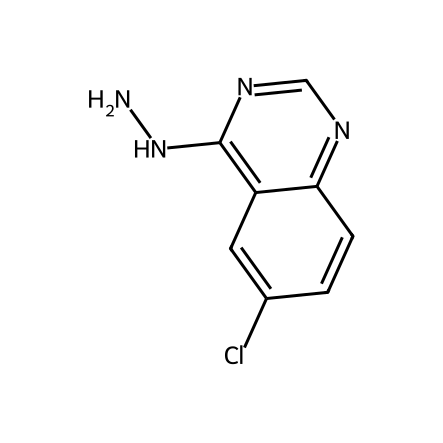 NNc1ncnc2ccc(Cl)cc12